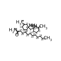 CC1CCCC(N)(CC2(N)CCCC(C)C2)C1.CCCCCCCCCCCC(N)=O